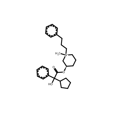 C[N+]1(CCCc2ccccc2)CCC[C@@H](OC(=O)C(O)(c2ccccc2)C2CCCC2)C1